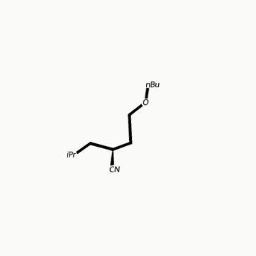 CCCCOCC[C@@H](C#N)CC(C)C